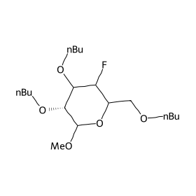 CCCCOCC1OC(OC)[C@H](OCCCC)C(OCCCC)C1F